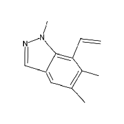 C=Cc1c(C)c(C)cc2cnn(C)c12